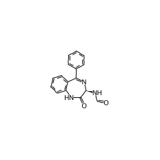 O=CN[C@@H]1N=C(c2ccccc2)c2ccccc2NC1=O